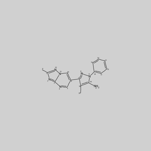 Cc1nc2ncc(-c3nn(-c4ccccc4)c(N)c3C)cn2n1